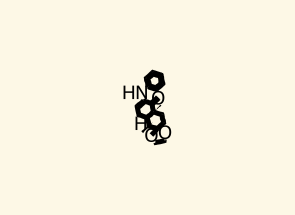 C[C@H]1[C@@H]2CC=C(Nc3ccccc3)C(=O)[C@@]2(C)CCC12OCCO2